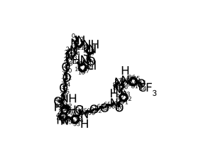 Cc1nc(Nc2ncc(C(=O)Nc3c(C)cccc3Cl)s2)cc(N2CCN(CCOCCOCCOCCNC(=O)C3C[C@@H]4C[C@H]3C3C=NN=C(c5cccc(C(=O)NCCOCCOCCNC(=O)c6cccc(-c7cc(Nc8ccc(OC(F)(F)F)cc8)ncn7)c6)c5)C34)CC2)n1